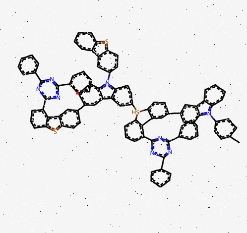 Cc1ccc(-n2c3ccccc3c3cc(-c4ccc5c(c4)-c4c(-c6nc(-c7ccccc7)nc(-c7ccccc7)n6)cccc4[SH]5c4ccc5c(c4)c4cc(-c6ccc7sc8cccc(-c9nc(-c%10ccccc%10)nc(-c%10ccccc%10)n9)c8c7c6)ccc4n5-c4ccc5sc6ccccc6c5c4)ccc32)cc1